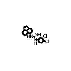 N=C(Nc1ccc(Cl)c(Cl)c1)Nc1ccc2c3c(cccc13)C=C2